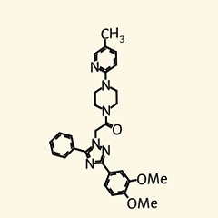 COc1ccc(-c2nc(-c3ccccc3)n(CC(=O)N3CCN(c4ccc(C)cn4)CC3)n2)cc1OC